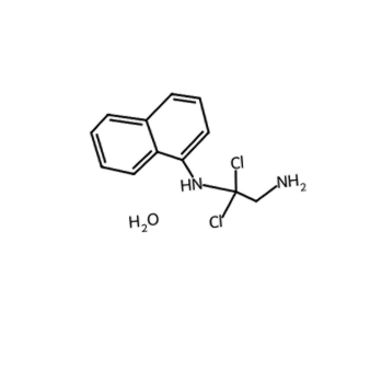 NCC(Cl)(Cl)Nc1cccc2ccccc12.O